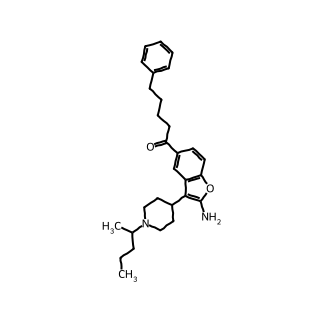 CCCC(C)N1CCC(c2c(N)oc3ccc(C(=O)CCCCc4ccccc4)cc23)CC1